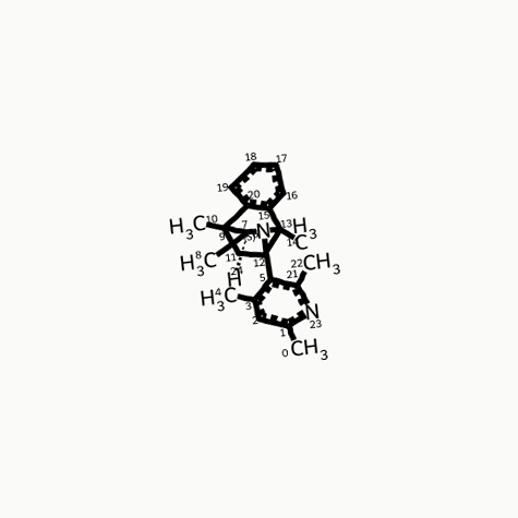 Cc1cc(C)c(N2[C@@H](C)C3(C)CCC2(C)c2ccccc23)c(C)n1